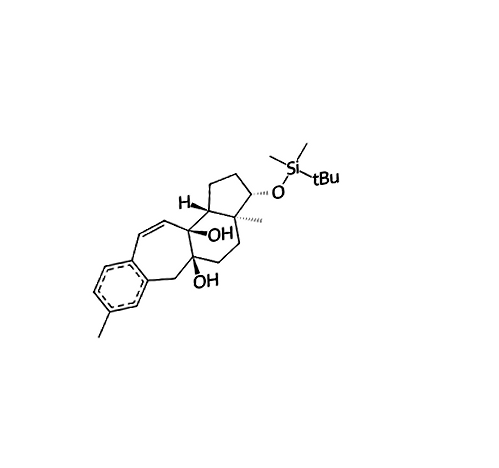 Cc1ccc2c(c1)C[C@@]1(O)CC[C@]3(C)[C@@H](O[Si](C)(C)C(C)(C)C)CC[C@H]3[C@@]1(O)C=C2